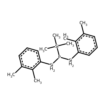 Cc1cccc([SiH2]P([SiH2]c2cccc(C)c2C)[Si](C)(C)C)c1C